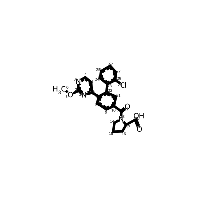 COc1nccc(-c2ccc(C(=O)N3CCCC3C(=O)O)cc2-c2ccccc2Cl)n1